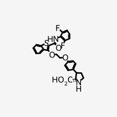 O=C(Nc1c(F)cccc1F)c1sc2ccccc2c1OCCOc1ccc(C2CCN[C@@H]2C(=O)O)cc1